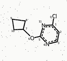 Clc1ccnc(OC2CCC2)n1